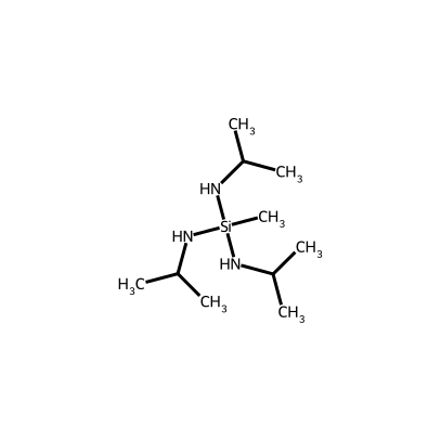 CC(C)N[Si](C)(NC(C)C)NC(C)C